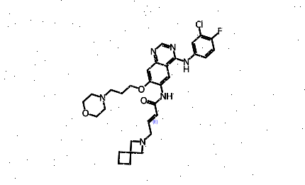 O=C(/C=C/CN1CC2(CCC2)C1)Nc1cc2c(Nc3ccc(F)c(Cl)c3)ncnc2cc1OCCCN1CCOCC1